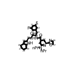 CCCN(CCC)c1cc(C(=O)NC(Cc2cc(F)cc(F)c2)C(O)CCc2cc3ccccc3[nH]2)cc(-c2ncco2)n1